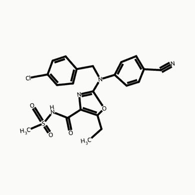 CCc1oc(N(Cc2ccc(Cl)cc2)c2ccc(C#N)cc2)nc1C(=O)NS(C)(=O)=O